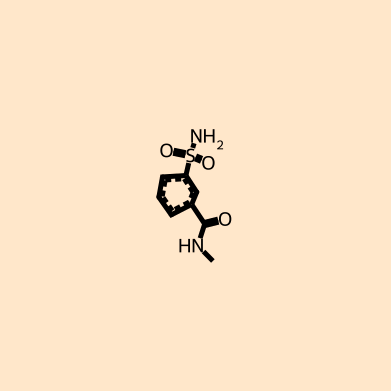 CNC(=O)c1cccc(S(N)(=O)=O)c1